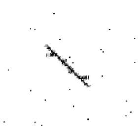 CCCCCCCCC(C=CCCCCCCC(=O)OCCCCCCOC(=O)CCCCCC/C=C/C(CO)CCCCCCCC)CO